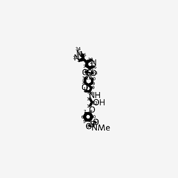 CNS(=O)(=O)c1cccc(OCC(O)CNC2COC3(CCN(S(=O)(=O)c4cncc(-c5cnn(C)c5)c4)CC3)C2)c1